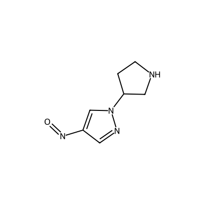 O=Nc1cnn(C2CCNC2)c1